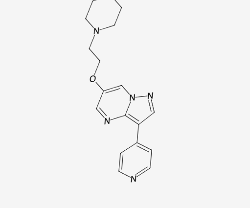 c1cc(-c2cnn3cc(OCCN4CCCCC4)cnc23)ccn1